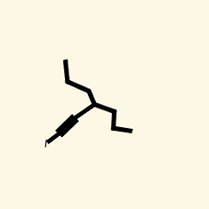 CCCC(C#CI)CCC